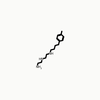 Cc1ccc(CCCCNCCNCCN)cc1